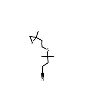 CC(C)(CCC#N)SCCC1(C)CS1